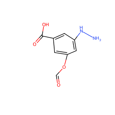 NNc1cc(OC=O)cc(C(=O)O)c1